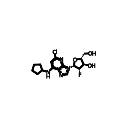 OC[C@H]1O[C@@H](n2cnc3c(NC4CCCC4)cc(Cl)nc32)[C@@H](F)[C@@H]1O